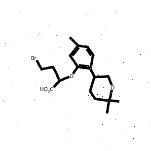 Cc1ccc(C2CCC(C)(C)OC2)c(OC(CCBr)C(=O)O)c1